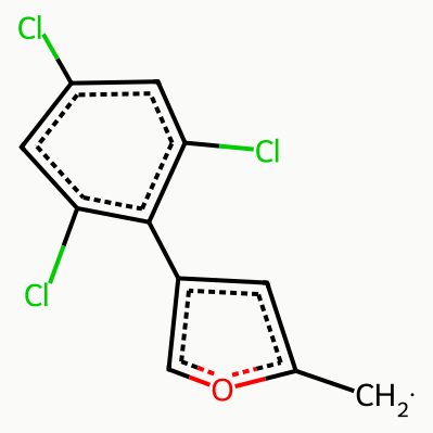 [CH2]c1cc(-c2c(Cl)cc(Cl)cc2Cl)co1